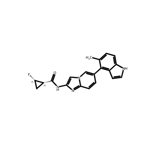 Cc1ccc2[nH]ccc2c1-c1ccc2nc(NC(=O)[C@@H]3C[C@@H]3F)cn2c1